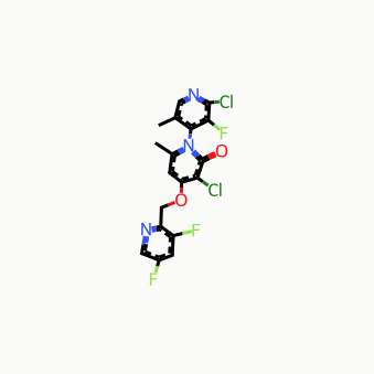 Cc1cnc(Cl)c(F)c1-n1c(C)cc(OCc2ncc(F)cc2F)c(Cl)c1=O